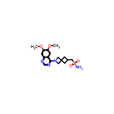 COc1cc2ncnc(N3CC4(CC(CS(N)(=O)=O)C4)C3)c2cc1OC